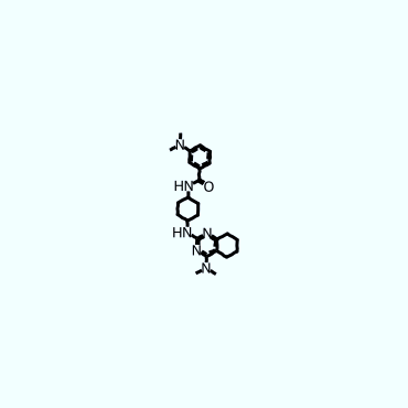 CN(C)c1cccc(C(=O)NC2CCC(Nc3nc4c(c(N(C)C)n3)CCCC4)CC2)c1